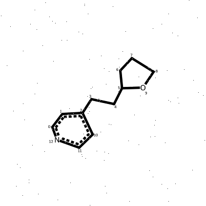 c1cc(CCC2CCCO2)ccn1